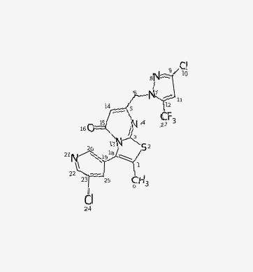 Cc1sc2nc(Cn3nc(Cl)cc3C(F)(F)F)cc(=O)n2c1-c1cncc(Cl)c1